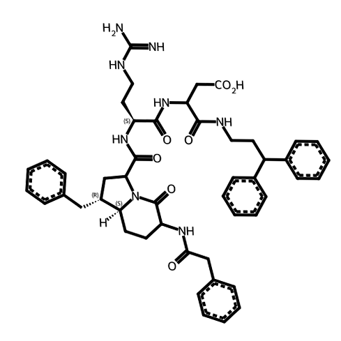 N=C(N)NCC[C@H](NC(=O)C1C[C@@H](Cc2ccccc2)[C@@H]2CCC(NC(=O)Cc3ccccc3)C(=O)N12)C(=O)NC(CC(=O)O)C(=O)NCCC(c1ccccc1)c1ccccc1